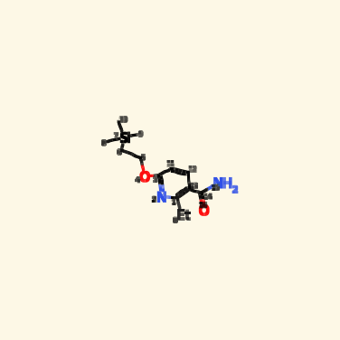 CCc1nc(OCC[Si](C)(C)C)ccc1C(N)=O